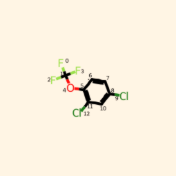 FC(F)(F)Oc1[c]cc(Cl)cc1Cl